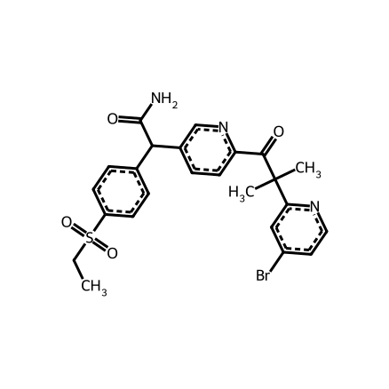 CCS(=O)(=O)c1ccc(C(C(N)=O)c2ccc(C(=O)C(C)(C)c3cc(Br)ccn3)nc2)cc1